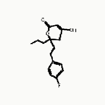 CCCC1(CCc2ccc(F)cc2)CC(O)=CC(=O)O1